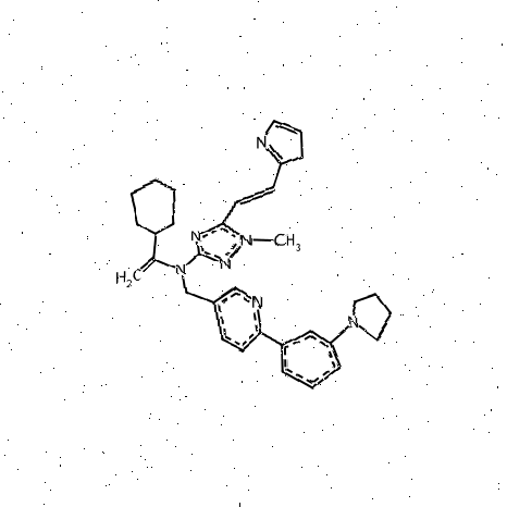 C=C(C1CCCCC1)N(Cc1ccc(-c2cccc(N3CCCC3)c2)nc1)c1nc(/C=C/C2=NC=CC2)n(C)n1